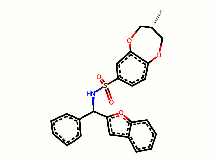 O=S(=O)(N[C@H](c1ccccc1)c1cc2ccccc2o1)c1ccc2c(c1)OC[C@H](F)CO2